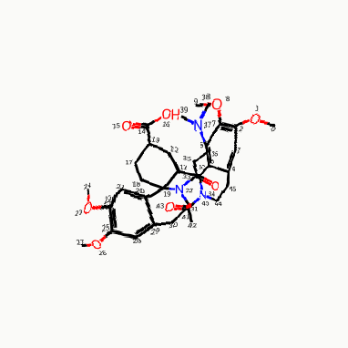 COc1cc2c(cc1OC)C(C1CC(C(=O)O)CCC13c1cc(OC)c(OC)cc1CCN3C(=O)CCN(C)C)N(C(C)=O)CC2